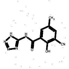 Cc1cc(C#N)c(O)c(C(=O)Nc2nnn[nH]2)c1